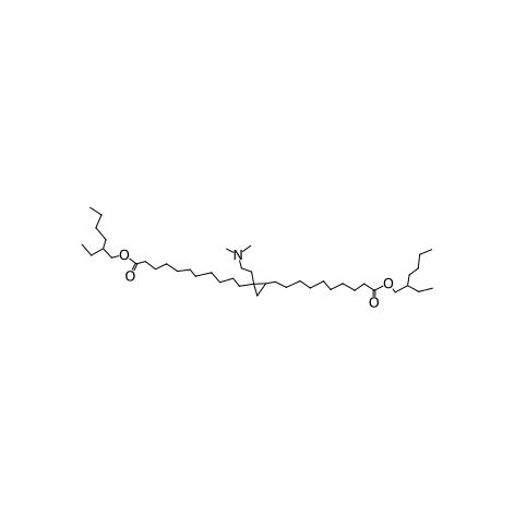 CCCCC(CC)COC(=O)CCCCCCCCCCC1(CCN(C)C)CC1CCCCCCCCCC(=O)OCC(CC)CCCC